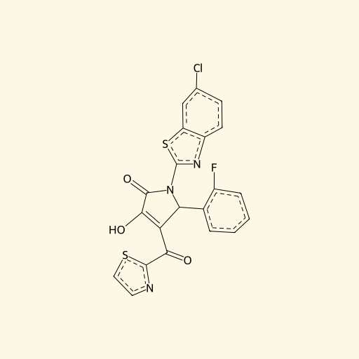 O=C(C1=C(O)C(=O)N(c2nc3ccc(Cl)cc3s2)C1c1ccccc1F)c1nccs1